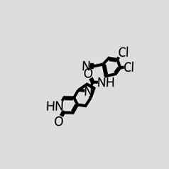 N#Cc1cc(Cl)c(Cl)cc1NC(=O)N1C2CCC1c1c[nH]c(=O)cc1C2